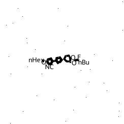 CCCCCCOc1ccc(-c2ccc([C@H]3CC[C@H](OC(=O)[C@@H](F)CCCC)CC3)cc2)cc1C#N